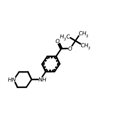 CC(C)(C)OC(=O)c1ccc(NC2CCNCC2)cc1